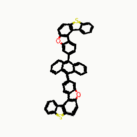 c1ccc2c(c1)sc1ccc3oc4cc(-c5c6ccccc6c(-c6ccc7c(c6)oc6ccc8sc9ccccc9c8c67)c6ccccc56)ccc4c3c12